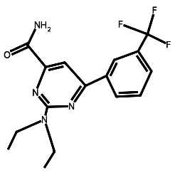 CCN(CC)c1nc(C(N)=O)cc(-c2cccc(C(F)(F)F)c2)n1